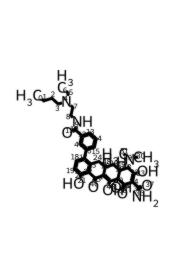 CCCCN(CC)CCNC(=O)c1cccc(-c2ccc(O)c3c2C[C@H]2C[C@H]4[C@H](N(C)C)C(O)=C(C(N)=O)C(=O)[C@@]4(O)C(O)=C2C3=O)c1